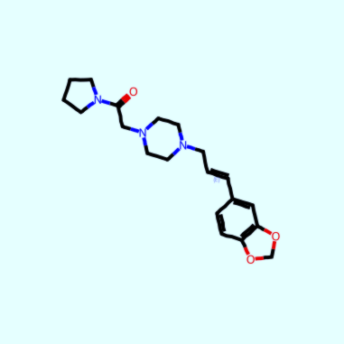 O=C(CN1CCN(C/C=C/c2ccc3c(c2)OCO3)CC1)N1CCCC1